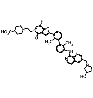 Cc1c(Nc2nccc3cc(CN4CC[C@@H](O)C4)cnc23)cccc1-c1cccc(-c2cc3c(=O)n(CCN4CCC(C(=O)O)CC4)cc(F)c3o2)c1C